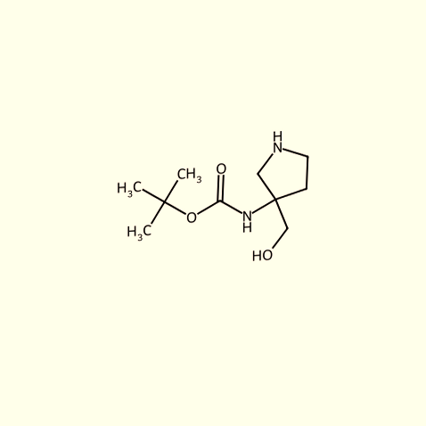 CC(C)(C)OC(=O)NC1(CO)CCNC1